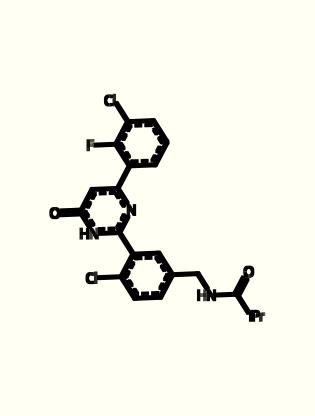 CC(C)C(=O)NCc1ccc(Cl)c(-c2nc(-c3cccc(Cl)c3F)cc(=O)[nH]2)c1